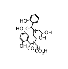 O=C(O)CN(CCN(CC(O)O)C(C(=O)O)c1ccccc1O)C(C(=O)O)c1ccccc1O